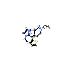 CN1CCC(C2c3sccc3CCn3ccnc32)CC1